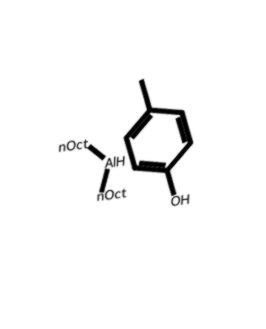 CCCCCCC[CH2][AlH][CH2]CCCCCCC.Cc1ccc(O)cc1